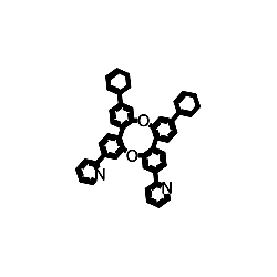 C1=CCCC(c2ccc3c(c2)Oc2cc(C4=CCCC=C4)ccc2-c2ccc(-c4ccccn4)cc2Oc2cc(-c4ccccn4)ccc2-3)=C1